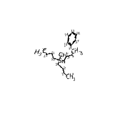 CCC[CH2][Sn]([CH3])([CH2]CCC)[CH2]CCC.c1ccccc1